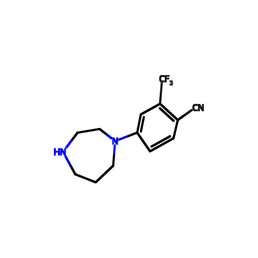 N#Cc1ccc(N2CCCNCC2)cc1C(F)(F)F